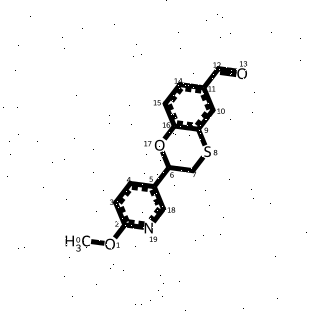 COc1ccc(C2CSc3cc(C=O)ccc3O2)cn1